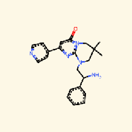 CC1(C)CN(CC(N)c2ccccc2)c2nc(-c3ccncc3)cc(=O)n2C1